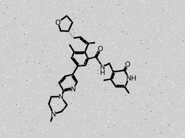 C/C(=C/C[C@H]1CCOC1)c1c(C)cc(-c2ccc(N3CCN(C)CC3)nc2)cc1C(=O)NCc1c(C)cc(C)[nH]c1=O